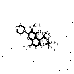 COc1c(N2CCOCC2)oc2c(C)ccc(-c3nnnn3C(C)(C)C)c2c1=O